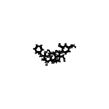 CC(C)OC(=O)[C@H](C)NP(=O)(Oc1ccccc1)O[C@@H](C)[C@H]1O[C@@H](n2ccc(N)nc2=O)[C@@](F)(CF)C1O